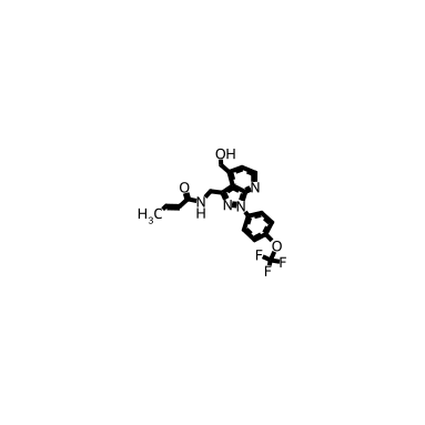 C/C=C/C(=O)NCc1nn(-c2ccc(OC(F)(F)F)cc2)c2nccc(CO)c12